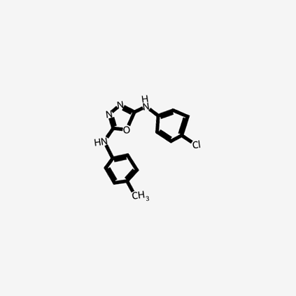 Cc1ccc(Nc2nnc(Nc3ccc(Cl)cc3)o2)cc1